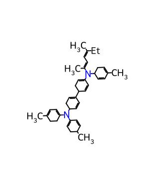 CC/C(C)=C\C=C(/C)N(C1=CCC(C2=CCC(N(C3=CCC(C)C=C3)C3=CC=C(C)CC3)C=C2)C=C1)C1C=CC(C)=CC1